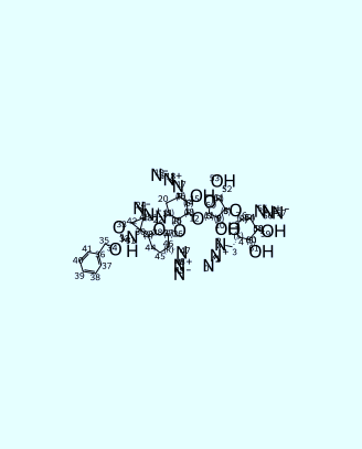 [N-]=[N+]=NC[C@@H]1O[C@H](O[C@H]2[C@@H](O)[C@H](O[C@@H]3[C@@H](O)[C@H](N=[N+]=[N-])C[C@H](N=[N+]=[N-])[C@H]3O[C@H]3O[C@H](C4(NC(=O)OCc5ccccc5)CC4)CC[C@H]3N=[N+]=[N-])O[C@@H]2CO)[C@H](N=[N+]=[N-])[C@@H](O)[C@@H]1O